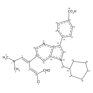 CN(C)/C=C(\C=C(\Cl)C=O)c1cnc2c(-c3ccc(C(=O)O)cc3)cn(CC3CCCCC3)c2c1